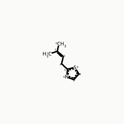 CC(C)=CCc1nccs1